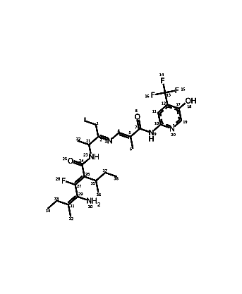 CC/C(=N\C=C(/C)C(=O)Nc1cc(C(F)(F)F)c(O)cn1)C(C)NC(=O)/C(=C(F)/C(N)=C(/C)CC)C(C)CC